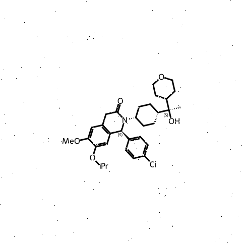 COc1cc2c(cc1OC(C)C)[C@H](c1ccc(Cl)cc1)N([C@H]1CC[C@@H]([C@](C)(O)C3CCOCC3)CC1)C(=O)C2